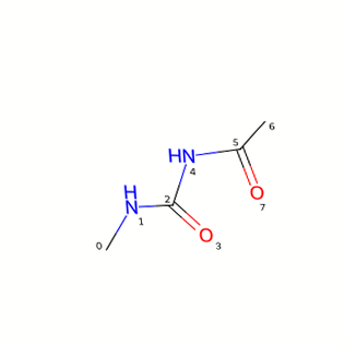 CNC(=O)NC(C)=O